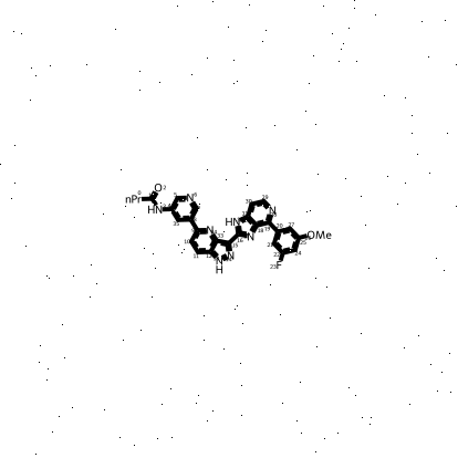 CCCC(=O)Nc1cncc(-c2ccc3[nH]nc(-c4nc5c(-c6cc(F)cc(OC)c6)nccc5[nH]4)c3n2)c1